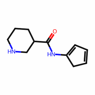 O=C(NC1=CC=CC1)C1CCCNC1